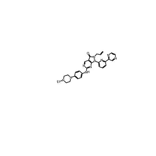 C=CCn1c(=O)c2cnc(Nc3ccc(N4CCN(CC)CC4)cc3)nc2n1-c1cccc(-c2cnccn2)n1